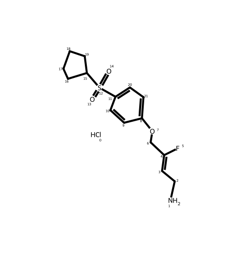 Cl.NCC=C(F)COc1ccc(S(=O)(=O)C2CCCC2)cc1